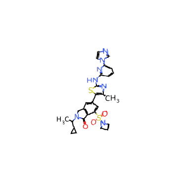 Cc1nc(Nc2cccc(-n3ccnc3)n2)sc1-c1cc2c(c(S(=O)(=O)N3CCC3)c1)C(=O)N(C(C)C1CC1)C2